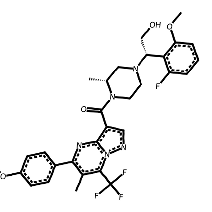 COc1ccc(-c2nc3c(C(=O)N4CCN([C@H](CO)c5c(F)cccc5OC)C[C@H]4C)cnn3c(C(F)(F)F)c2C)cc1